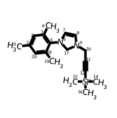 Cc1cc(C)c(N2C=CN(CC#C[Si](C)(C)C)C2)c(C)c1